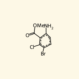 COC(=O)c1c(N)ccc(Br)c1Cl